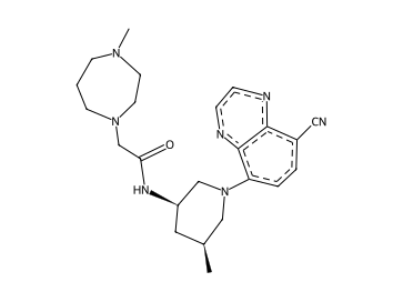 C[C@H]1C[C@@H](NC(=O)CN2CCCN(C)CC2)CN(c2ccc(C#N)c3nccnc23)C1